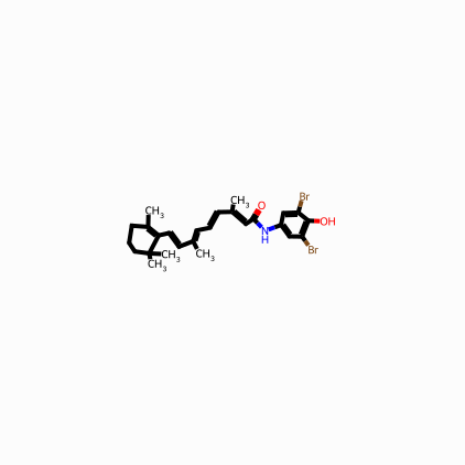 CC(C=CC1=C(C)CCCC1(C)C)=CC=CC(C)=CC(=O)Nc1cc(Br)c(O)c(Br)c1